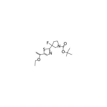 C=C(OCC)c1cnc(C2(F)CCN(C(=O)OC(C)(C)C)C2)s1